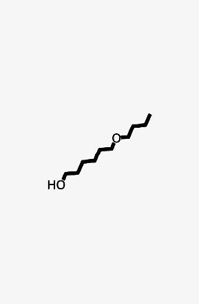 CCCCOCCCCCCO